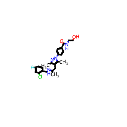 C=C(Cc1c(C)nn(-c2ccc(C(=O)NCCO)cc2)c1C)NCc1ccc(F)cc1Cl